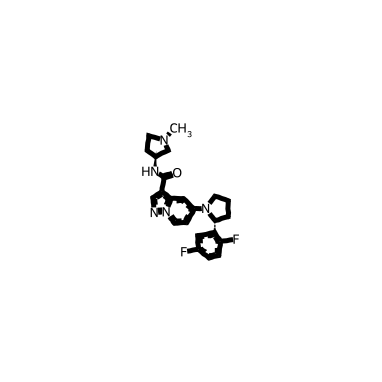 CN1CC[C@H](NC(=O)c2cnn3ccc(N4CCC[C@@H]4c4cc(F)ccc4F)cc23)C1